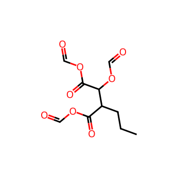 CCCC(C(=O)OC=O)C(OC=O)C(=O)OC=O